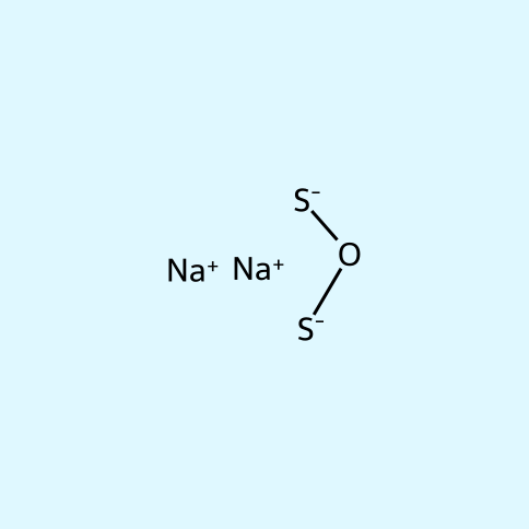 [Na+].[Na+].[S-]O[S-]